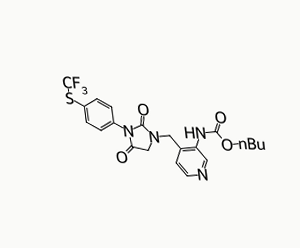 CCCCOC(=O)Nc1cnccc1CN1CC(=O)N(c2ccc(SC(F)(F)F)cc2)C1=O